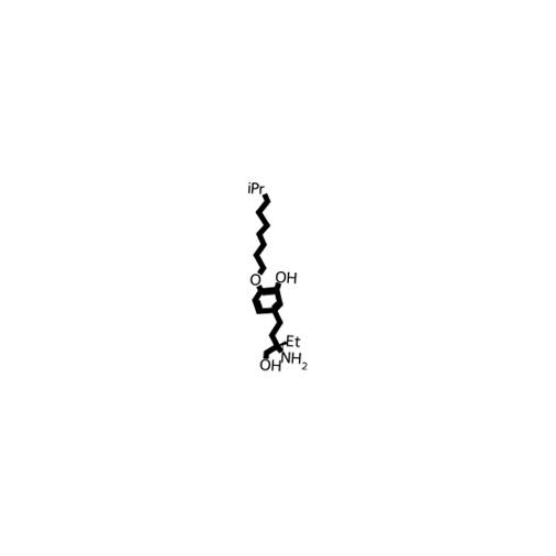 CC[C@@](N)(CO)CCc1ccc(OCCCCCCCC(C)C)c(O)c1